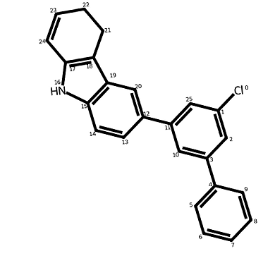 Clc1cc(-c2ccccc2)cc(-c2ccc3[nH]c4c(c3c2)CCC=C4)c1